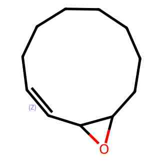 C1=C\C2OC2CCCCCCC/1